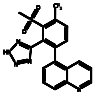 CS(=O)(=O)c1c(C(F)(F)F)ccc(-c2cccc3ncccc23)c1-c1nn[nH]n1